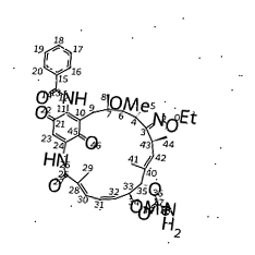 CCON=C1[C@@H](OC)C[C@H](C)CC2=C(NC(=O)c3ccccc3)C(=O)C=C(NC(=O)/C(C)=C/C=C\[C@H](OC)[C@@H](OC(N)=O)/C(C)=C/[C@@H]1C)C2=O